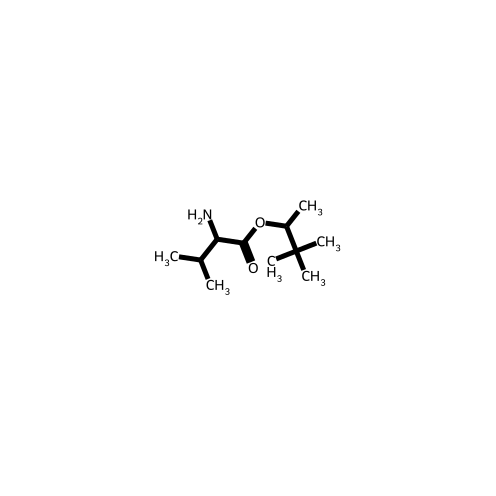 CC(C)C(N)C(=O)OC(C)C(C)(C)C